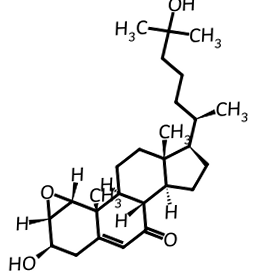 C[C@H](CCCC(C)(C)O)[C@H]1CC[C@H]2[C@@H]3C(=O)C=C4C[C@@H](O)[C@@H]5O[C@@H]5[C@]4(C)[C@H]3CC[C@]12C